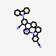 N#Cc1ccc2c(c1)c1ccccc1n2-c1ccccc1-c1ccccc1-c1cc(-n2c3ccccc3c3ccccc32)cc(C#N)c1C#N